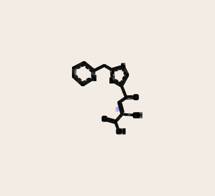 O=C(O)/C(O)=C/C(=O)c1csc(Cc2ccccn2)n1